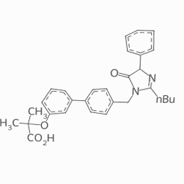 CCCCC1=NC(c2ccccc2)C(=O)N1Cc1ccc(-c2cccc(OC(C)(C)C(=O)O)c2)cc1